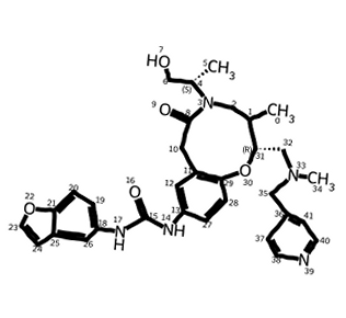 CC1CN([C@@H](C)CO)C(=O)Cc2cc(NC(=O)Nc3ccc4occc4c3)ccc2O[C@H]1CN(C)Cc1ccncc1